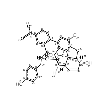 CN1CC[C@]23c4c5c(-c6ccc([N+](=O)[O-])cc6C(=O)NCc6ccc(O)cc6)cc(O)c4O[C@H]2[C@@H](O)C=C[C@H]3[C@H]1C5